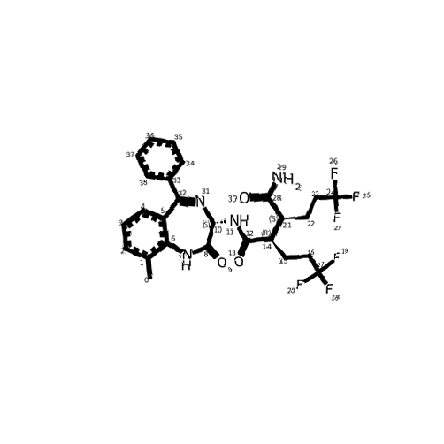 Cc1cccc2c1NC(=O)[C@@H](NC(=O)[C@H](CCC(F)(F)F)[C@H](CCC(F)(F)F)C(N)=O)N=C2c1ccccc1